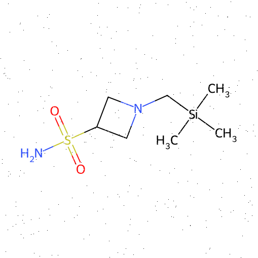 C[Si](C)(C)CN1CC(S(N)(=O)=O)C1